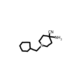 N#CC1(N)CCN(CC2CCCCC2)CC1